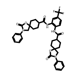 O=C(Nc1ccc(C(F)(F)F)cc1NC(=O)C1CCC2(CC1)CN(c1ccccc1)C(=O)O2)C1CCC2(CC1)CN(c1ccccc1)C(=O)O2